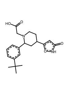 CC(C)(C)c1cccc(C2CC(c3cc(=O)[nH]o3)CCN2CC(=O)O)c1